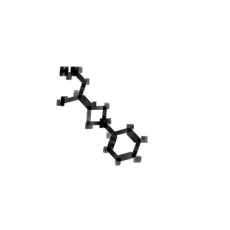 NCC(F)=C1CN(c2ccccc2)C1